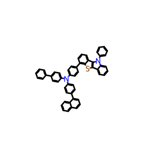 c1ccc(-c2ccc(N(c3ccc(-c4cccc5ccccc45)cc3)c3ccc(-c4cccc5c4sc4c6ccccc6n(-c6ccccc6)c54)cc3)cc2)cc1